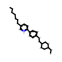 CCCCCCCc1ccc(-c2ccc(CCC3CCC(CC)CC3)cc2)nc1